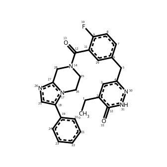 CCc1cc(Cc2ccc(F)c(C(=O)N3CCn4c(-c5ccccc5)cnc4C3)c2)n[nH]c1=O